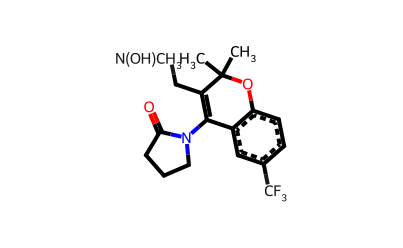 CN(O)CC1=C(N2CCCC2=O)c2cc(C(F)(F)F)ccc2OC1(C)C